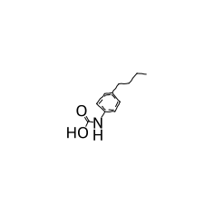 CCCCc1ccc(NC(=O)O)cc1